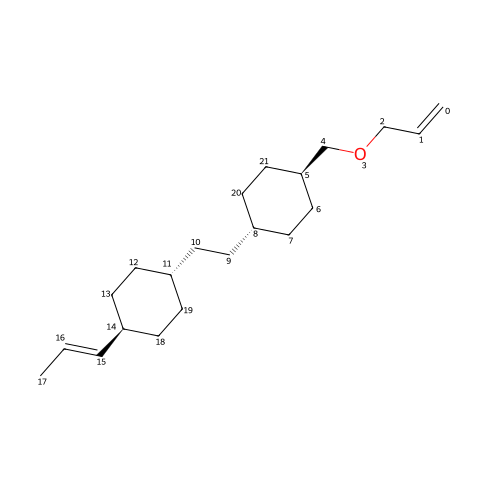 C=CCOC[C@H]1CC[C@H](CC[C@H]2CC[C@H](C=CC)CC2)CC1